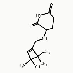 CC1(N)C=C(CNC2CCC(=O)NC2=O)C1(C)C